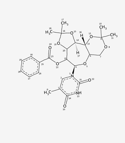 Cc1cn([C@@H]2OC3COC(C)(C)O[C@H]3[C@@H]3OC(C)(C)OC3C2OC(=O)c2ccccc2)c(=O)[nH]c1=O